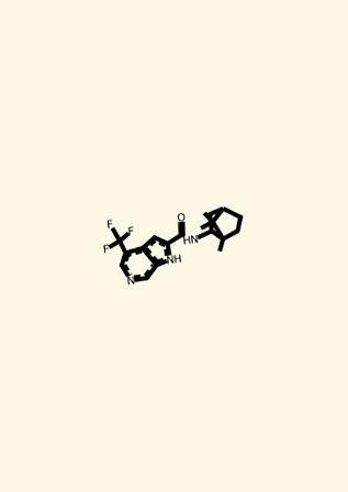 CC1(C)C2CCC1(C)C(NC(=O)c1cc3c(C(F)(F)F)cncc3[nH]1)C2